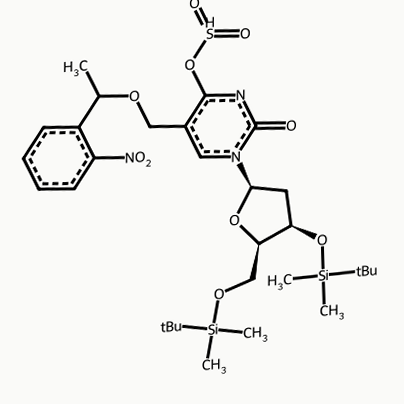 CC(OCc1cn([C@H]2C[C@@H](O[Si](C)(C)C(C)(C)C)[C@@H](CO[Si](C)(C)C(C)(C)C)O2)c(=O)nc1O[SH](=O)=O)c1ccccc1[N+](=O)[O-]